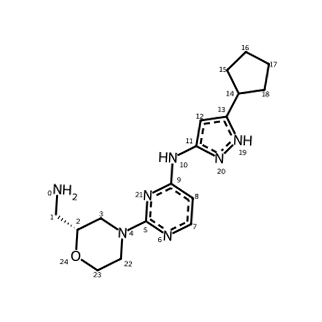 NC[C@@H]1CN(c2nccc(Nc3cc(C4CCCC4)[nH]n3)n2)CCO1